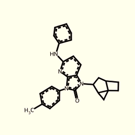 Cc1ccc(-n2c(=O)n(C3CC4CCC45CC35)c3ccc(Nc4ccccc4)nc32)cc1